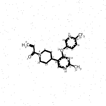 C=CC(=O)N1CCC(c2cnc(C)nc2Oc2ccc(C(F)(F)F)nc2)CC1